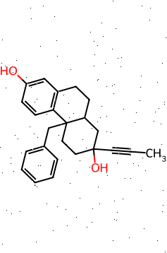 CC#CC1(O)CCC2(Cc3cc[c]cc3)c3ccc(O)cc3CCC2C1